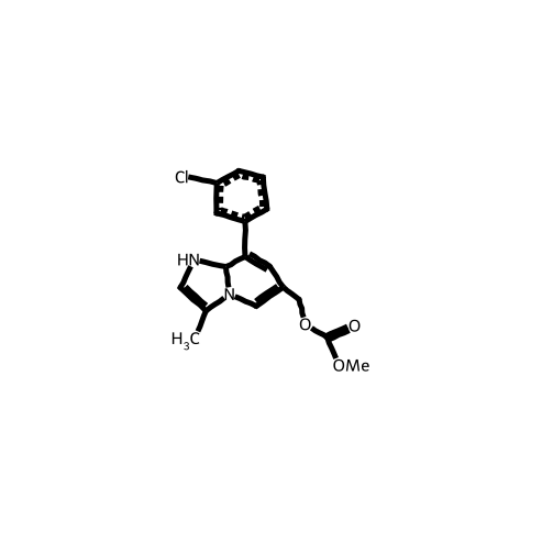 COC(=O)OCC1=CN2C(C)=CNC2C(c2cccc(Cl)c2)=C1